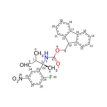 CC(C=O)[C@](C)(NC(=O)OCC1c2ccccc2-c2ccccc21)c1cc([N+](=O)[O-])ccc1F